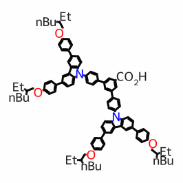 CCCCC(CC)COc1ccc(-c2ccc3c(c2)c2cc(-c4ccc(OCC(CC)CCCC)cc4)ccc2n3-c2ccc(-c3cc(C(=O)O)cc(-c4ccc(-n5c6ccc(-c7ccc(OCC(CC)CCCC)cc7)cc6c6cc(-c7ccc(OCC(CC)CCCC)cc7)ccc65)cc4)c3)cc2)cc1